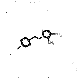 C[n+]1ccc(CCn2ncc(N)c2N)cc1